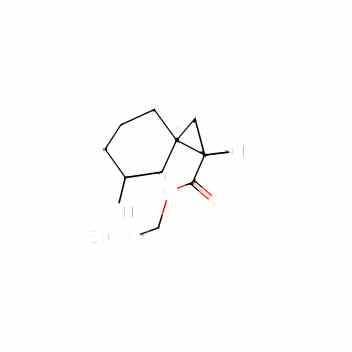 CCOC(=O)COC(=O)C1(C)CC12CCCC(C)C2